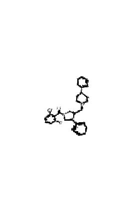 O=C(c1c(Cl)cccc1Cl)N1CC(CN2CCC(c3ccccc3)CC2)C(c2ccccc2)C1